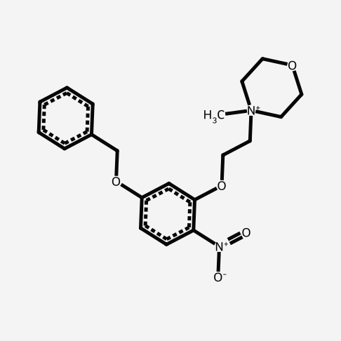 C[N+]1(CCOc2cc(OCc3ccccc3)ccc2[N+](=O)[O-])CCOCC1